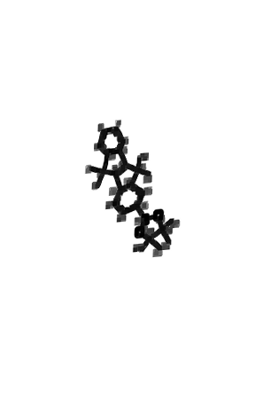 CC1(C)C2=C(c3ccccc31)C(C)(C)c1cc(B3OC(C)(C)C(C)(C)O3)ccc12